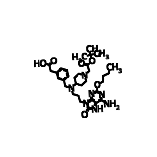 CCCCOc1nc(N)c2[nH]c(=O)n(CCCN(Cc3cccc(CC(=O)O)c3)C3CCN(CC(=O)OC(C)(C)C)CC3)c2n1